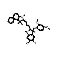 COc1ccc(CC2(C)C(/C=C/C=C3/N(C)c4ccc5ccccc5c4C3(C)C)=[N+](C)c3cc(Cl)c(Cl)cc32)c(OC)c1